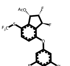 CC(=O)O[C@H]1c2c(SC(F)(F)F)ccc(Oc3cc(F)cc(Cl)c3)c2[C@H](F)[C@H]1F